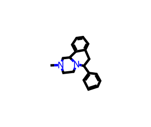 CN1CCN2C(c3ccccc3)Cc3ccccc3C2C1